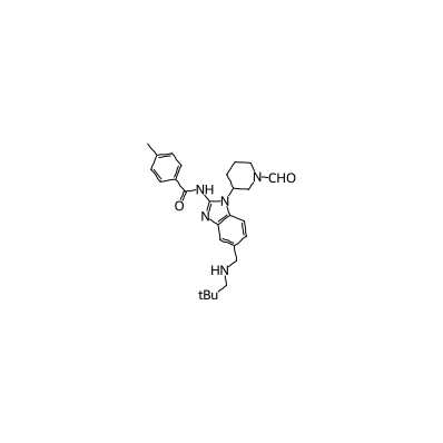 Cc1ccc(C(=O)Nc2nc3cc(CNCC(C)(C)C)ccc3n2C2CCCN(C=O)C2)cc1